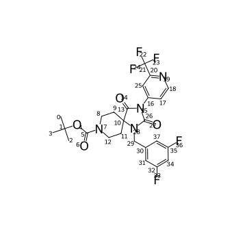 CC(C)(C)OC(=O)N1CCC2(CC1)C(=O)N(c1ccnc(C(F)(F)F)c1)C(=O)N2Cc1cc(F)cc(F)c1